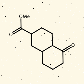 COC(=O)C1CCC2C(=O)CCCC2C1